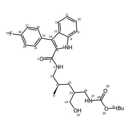 C[C@@H](CNC(=O)c1[nH]c2ccccc2c1-c1ccc(F)cc1)CC(CO)CNC(=O)OC(C)(C)C